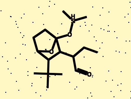 CCC(C=O)C1C(C(C)(C)C)C2CCC1(O[SiH](C)C)O2